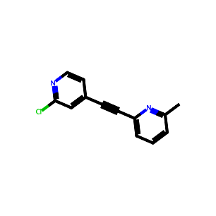 Cc1cccc(C#Cc2ccnc(Cl)c2)n1